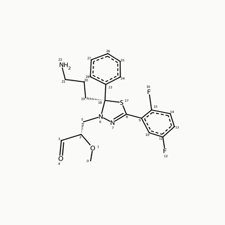 CO[C@H](C=O)CN1N=C(c2cc(F)ccc2F)S[C@]1(CCCN)c1ccccc1